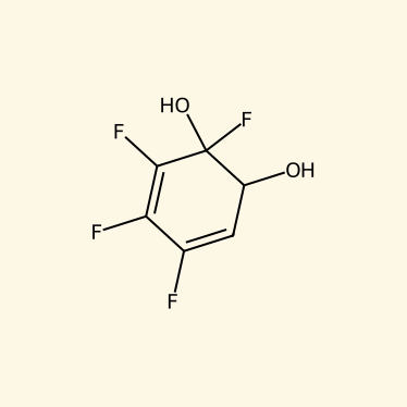 OC1C=C(F)C(F)=C(F)C1(O)F